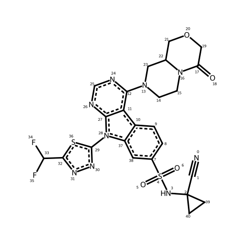 N#CC1(NS(=O)(=O)c2ccc3c4c(N5CCN6C(=O)COCC6C5)ncnc4n(-c4nnc(C(F)F)s4)c3c2)CC1